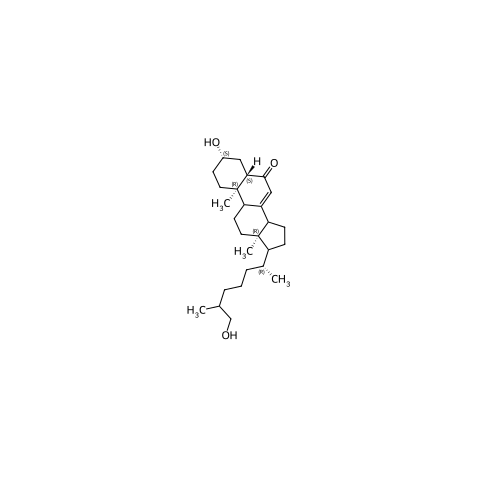 CC(CO)CCC[C@@H](C)C1CCC2C3=CC(=O)[C@H]4C[C@@H](O)CC[C@]4(C)C3CC[C@@]21C